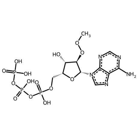 COO[C@@H]1[C@@H](O)[C@@H](COP(=O)(O)OP(=O)(O)OP(=O)(O)O)O[C@H]1n1cnc2c(N)ncnc21